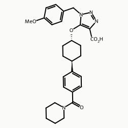 COc1ccc(Cn2nnc(C(=O)O)c2O[C@H]2CC[C@H](c3ccc(C(=O)N4CCCCC4)cc3)CC2)cc1